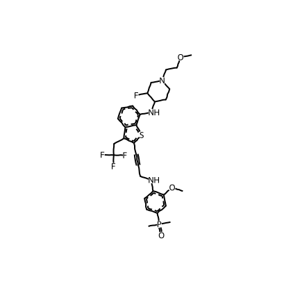 COCCN1CCC(Nc2cccc3c(CC(F)(F)F)c(C#CCNc4ccc(P(C)(C)=O)cc4OC)sc23)C(F)C1